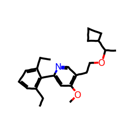 CCc1cccc(CC)c1-c1cc(OC)c(CCOC(C)C2CCC2)cn1